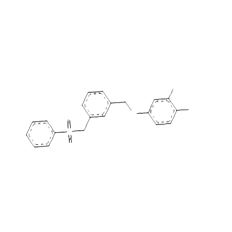 O=C(O)c1ccc(OCc2cccc(CS(=O)(=O)c3ccccc3)c2)cc1O